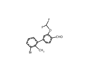 Cc1c(Br)cccc1-c1ccc(C=O)c(OC(F)F)c1